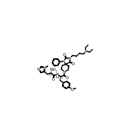 CCN(CC)CCCCN1C(=O)N(c2ccccc2)C2(CCN(C(=O)[C@@H](Cc3ccc(OC)cc3)NC(=O)[C@@H](N)Cc3cncn3C)CC2)C1=O